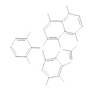 Cc1cccc(C)c1B1c2cc(C)c(C)c3nc4oc5ccc(C)c6c(C)cc1c(c56)n4c23